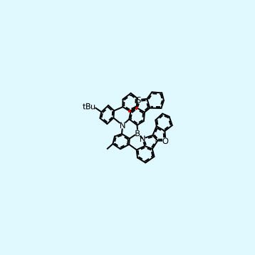 Cc1cc2c3c(c1)N(c1ccc(C(C)(C)C)cc1-c1ccccc1)c1cc4sc5ccccc5c4cc1B3n1c3c-2cccc3c2oc3ccccc3c21